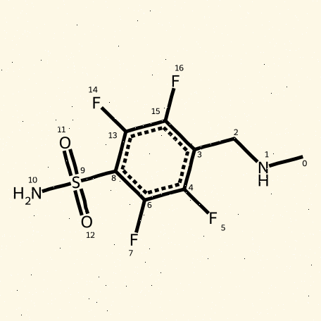 CNCc1c(F)c(F)c(S(N)(=O)=O)c(F)c1F